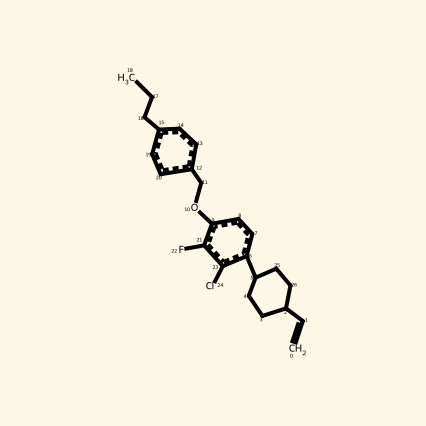 C=CC1CCC(c2ccc(OCc3ccc(CCC)cc3)c(F)c2Cl)CC1